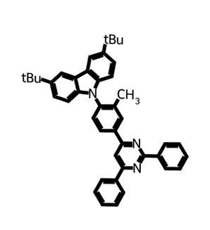 Cc1cc(-c2cc(-c3ccccc3)nc(-c3ccccc3)n2)ccc1-n1c2ccc(C(C)(C)C)cc2c2cc(C(C)(C)C)ccc21